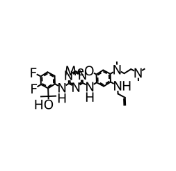 C=CCNc1cc(Nc2ncnc(Nc3ccc(F)c(F)c3C(C)(C)O)n2)c(OC)cc1N(C)CCN(C)C